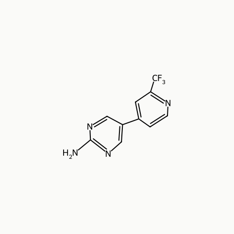 Nc1ncc(-c2ccnc(C(F)(F)F)c2)cn1